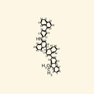 CC1(C)c2ccccc2-c2ccc(-c3ccc(-c4ccc(Nc5ccc(-c6cccc7ccccc67)cc5)c5ccccc45)c4ccccc34)cc21